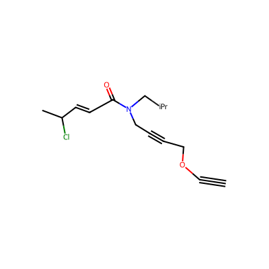 C#COCC#CCN(CC(C)C)C(=O)/C=C/C(C)Cl